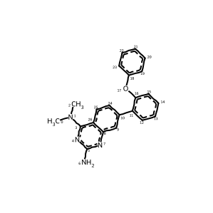 CN(C)c1nc(N)nc2cc(-c3ccccc3Oc3ccccc3)ccc12